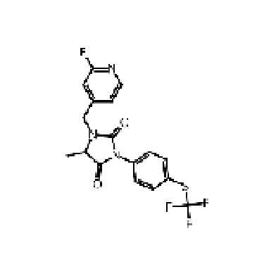 CC1C(=O)N(c2ccc(SC(F)(F)F)cc2)C(=O)N1Cc1ccnc(F)c1